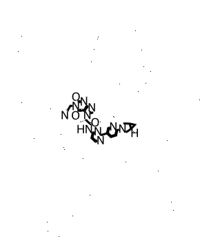 C[C@@H](C(=O)Nc1ccnc(-c2ccc(N3CC4C[C@H]4C3)nc2)n1)n1cnc2c1c(=O)n(CC#N)c(=O)n2C